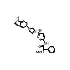 COC(C(=O)Nc1ccc(N[C@@H]2CCN(c3cc4cc[nH]c4nn3)C2)nn1)c1ccccc1